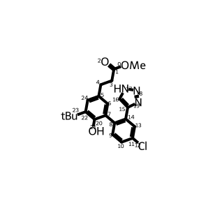 COC(=O)CCc1cc(-c2ccc(Cl)cc2-c2c[nH]nn2)c(O)c(C(C)(C)C)c1